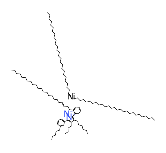 CCCCCCCCCCCCCCCCCCCC=CCCc1ccccc1C1=C(CCCCCC)C(CCCC)=C(c2cccc(CCCCC)c2)[N+]1=[N-].CCCCCCCCCCCCCCCCCCCCCCCCCC[CH2][Ni][CH2]CCCCCCCCCCCCCCCCCCCCCCCCCC